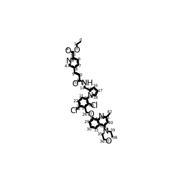 CCOC(=O)c1ccc(C=CC(=O)NCc2cccn2-c2ccc(Cl)c(COc3cccc4c(N5CCOCC5)cc(C)nc34)c2Cl)cn1